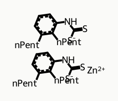 CCCCCc1cccc(NC(=S)[S-])c1CCCCC.CCCCCc1cccc(NC(=S)[S-])c1CCCCC.[Zn+2]